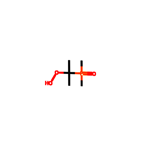 CC(C)(OO)P(C)(C)=O